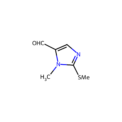 CSc1ncc(C=O)n1C